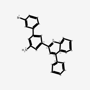 Nc1cc(-c2cccc(Br)c2)cc(-c2cc(-c3ccccc3)c3ccccc3n2)c1